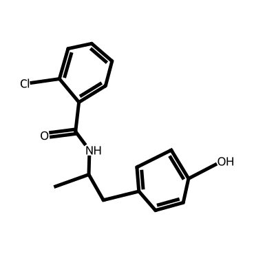 CC(Cc1ccc(O)cc1)NC(=O)c1ccccc1Cl